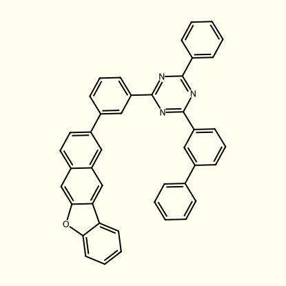 c1ccc(-c2cccc(-c3nc(-c4ccccc4)nc(-c4cccc(-c5ccc6cc7oc8ccccc8c7cc6c5)c4)n3)c2)cc1